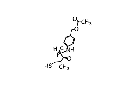 CC(=O)OCc1ccc(NC(C)(I)C(=O)C(C)CS)cc1